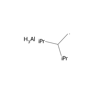 [AlH3].[CH2]C(C(C)C)C(C)C